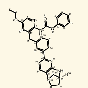 CCOc1cnc(NC(=O)Oc2ccccc2)c(Cc2cc(-c3ccc4c(n3)N[C@H]3CCN4C3)ccn2)n1